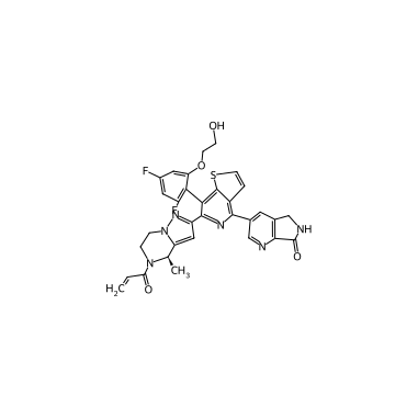 C=CC(=O)N1CCn2nc(-c3nc(-c4cnc5c(c4)CNC5=O)c4ccsc4c3-c3c(F)cc(F)cc3OCCO)cc2[C@H]1C